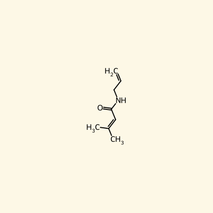 C=CCNC(=O)C=C(C)C